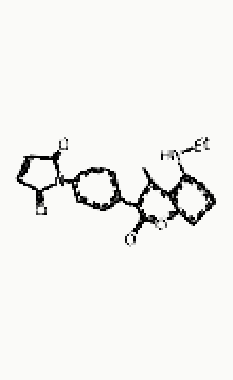 CCNc1cccc2oc(=O)c(-c3ccc(N4C(=O)C=CC4=O)cc3)c(C)c12